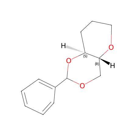 c1ccc(C2OC[C@H]3OCCC[C@@H]3O2)cc1